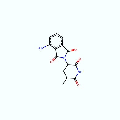 CC1CC(N2C(=O)c3cccc(N)c3C2=O)C(=O)NC1=O